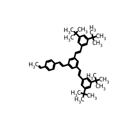 C=Cc1ccc(C=Cc2cc(C=Cc3cc(C(C)(C)C)cc(C(C)(C)C)c3)cc(C=Cc3cc(C(C)(C)C)cc(C(C)(C)C)c3)c2)cc1